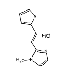 Cl.Cn1ccnc1C=Cc1cccs1